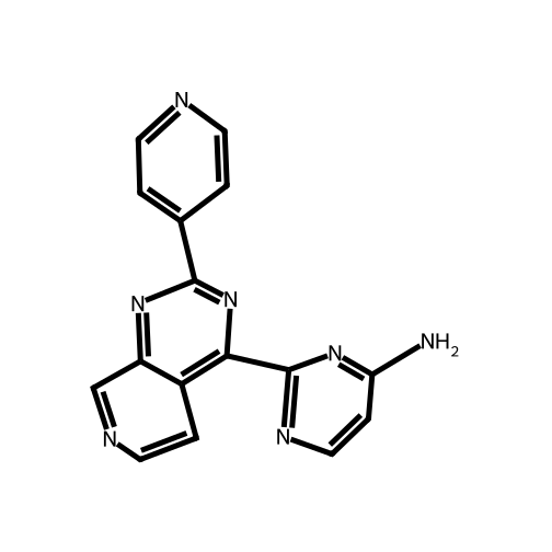 Nc1ccnc(-c2nc(-c3ccncc3)nc3cnccc23)n1